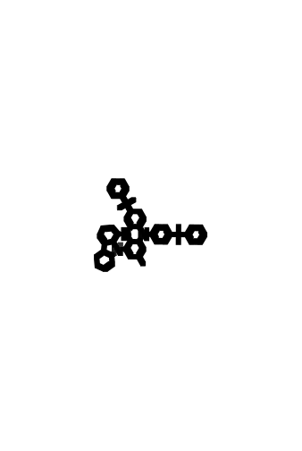 CC1=CC2C3B(C4=CC(C(C)(C)c5ccccc5)CC=C4N2c2ccc(C(C)(C)c4ccccc4)cc2)C2C=CC=C4C5CCC=CC5N(C3=C1)C42